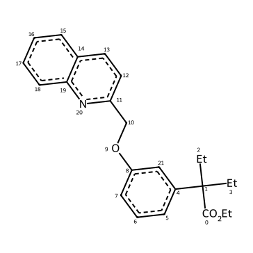 CCOC(=O)C(CC)(CC)c1cccc(OCc2ccc3ccccc3n2)c1